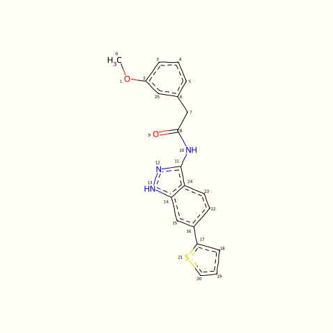 COc1cccc(CC(=O)Nc2n[nH]c3cc(-c4cccs4)ccc23)c1